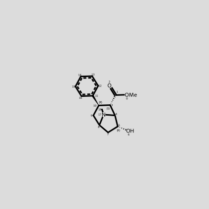 COC(=O)[C@@H]1C2[C@H](O)CC(C[C@H]1c1ccccc1)N2C